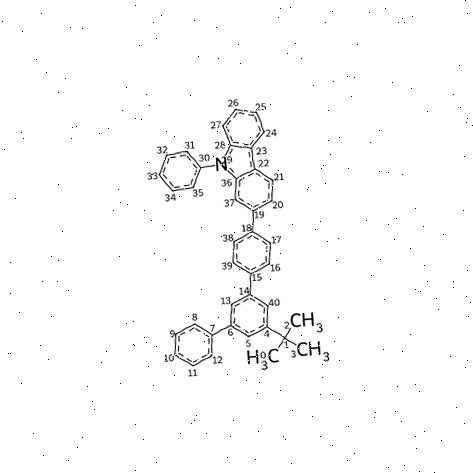 CC(C)(C)c1cc(-c2ccccc2)cc(-c2ccc(-c3ccc4c5ccccc5n(-c5ccccc5)c4c3)cc2)c1